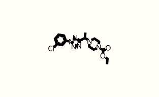 CCOC(=O)N1CCN(C(C)c2nnn(-c3cccc(Cl)c3)n2)CC1